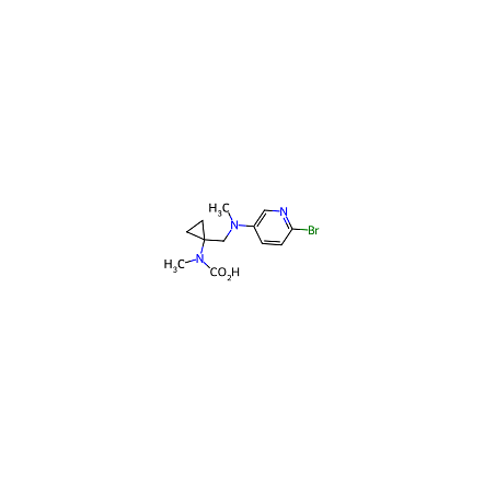 CN(CC1(N(C)C(=O)O)CC1)c1ccc(Br)nc1